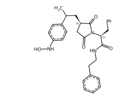 CC(C)C[C@@H](C(=O)NCCc1ccccc1)N1C(=O)C[C@@H](CC(C)c2ccc(NO)cc2)C1=O